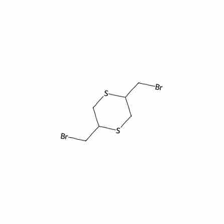 BrCC1CSC(CBr)CS1